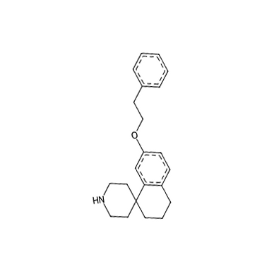 c1ccc(CCOc2ccc3c(c2)C2(CCC3)CCNCC2)cc1